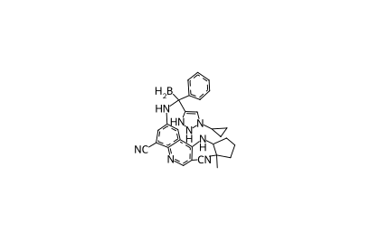 BC(Nc1cc(C#N)c2ncc(C#N)c(NC3CCCC3(C)C)c2c1)(C1=CN(C2CC2)NN1)c1ccccc1